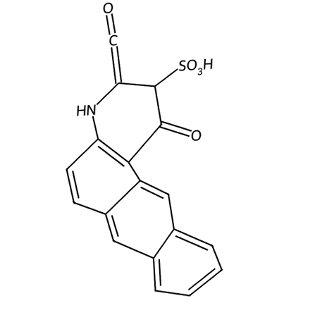 O=C=C1Nc2ccc3cc4ccccc4cc3c2C(=O)C1S(=O)(=O)O